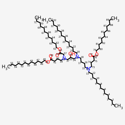 CCCCCCCCCCCCCCN(CCCCN(CCCCCCCCCCCCCC)CC(O)CN(CCCC(=O)OCCCCCCCCCCCC)CC(=O)OCCCCCCCCCCCC)CCCC(=O)OCCCCCCCCCCCC